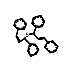 C(=CC(SC(/C=C\c1ccccc1)c1ccccc1)c1ccccc1)c1ccccc1